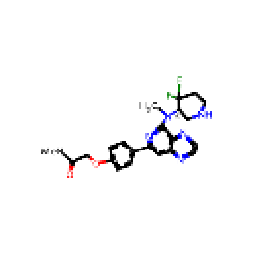 CNC(=O)COc1ccc(-c2cc3nccnc3c(N(C)[C@@H]3CNCCC3(F)F)n2)cc1